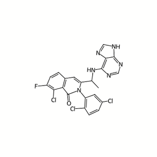 CC(Nc1ncnc2[nH]cnc12)c1cc2ccc(F)c(Cl)c2c(=O)n1-c1cc(Cl)ccc1Cl